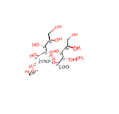 O.O.O.O=C([O-])[C@H](O)[C@@H](O)[C@H](O)[C@H](O)CO.O=C([O-])[C@H](O)[C@@H](O)[C@H](O)[C@H](O)CO.[Co+2]